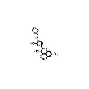 O=C1c2c(O)cc(O)cc2OC(c2ccc(OCc3ccccc3)c(O)c2)C1O